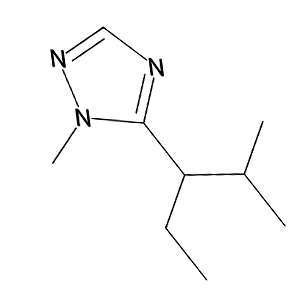 CCC(c1ncnn1C)C(C)C